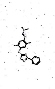 Cc1cc(Oc2nc(-c3ccccc3)ns2)c(C)cc1/N=C/N(C)C